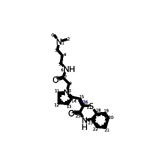 CN(C)CCCNC(=O)Cn1cccc1/C=C1/Sc2ccccc2NC1=O